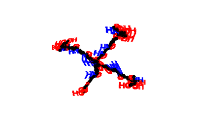 CC(=O)NC1C(OCCCCC(=O)NCCCNC(=O)CCOCC(COCCC(=O)NCCCNC(=O)CCCCOC2OC(CO)C(O)C(O)C2NC(C)=O)(COCCC(=O)NCCCNC(=O)CCCCOC2OC(CO)C(O)C(O)C2NC(C)=O)NC(=O)CCCC(=O)NCCCCCCOP(C)(=O)O)OC(CO)C(O)C1O